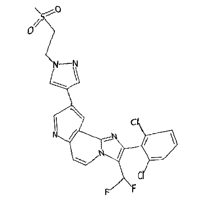 CS(=O)(=O)CCn1cc(-c2cnc3ccn4c(C(F)F)c(-c5c(Cl)cccc5Cl)nc4c3c2)cn1